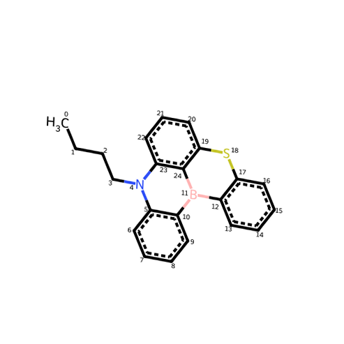 CCCCN1c2ccccc2B2c3ccccc3Sc3cccc1c32